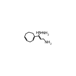 NC/C=C(NN)/C1=C/C/C=C\CCC1